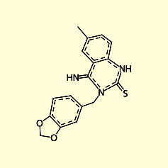 Cc1ccc2[nH]c(=S)n(Cc3ccc4c(c3)OCO4)c(=N)c2c1